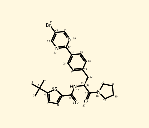 CC(C)(C)c1ccc(C(=O)N[C@@H](Cc2ccc(-c3ncc(Br)cn3)cc2)C(=O)N2CCCC2)s1